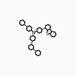 c1ccc(-c2ccc(N(c3ccc(-c4cccc(-c5ccccc5)c4)cc3)c3ccc(-c4cccc5c4sc4ccccc45)cc3)cc2)cc1